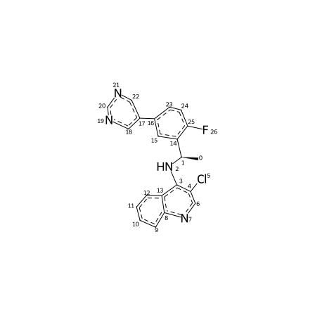 C[C@@H](Nc1c(Cl)cnc2ccccc12)c1cc(-c2cncnc2)ccc1F